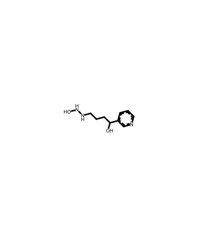 ONNCCCC(O)c1cccnc1